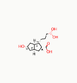 O=C(O)[C@@H]1C[C@H]2C[C@H](O)C[C@H]2[C@@H]1CCCB(O)O